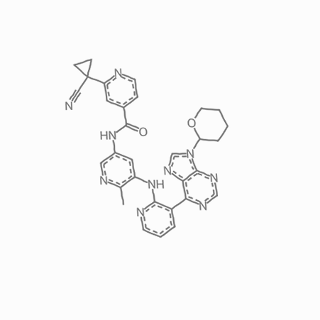 Cc1ncc(NC(=O)c2ccnc(C3(C#N)CC3)c2)cc1Nc1ncccc1-c1ncnc2c1ncn2C1CCCCO1